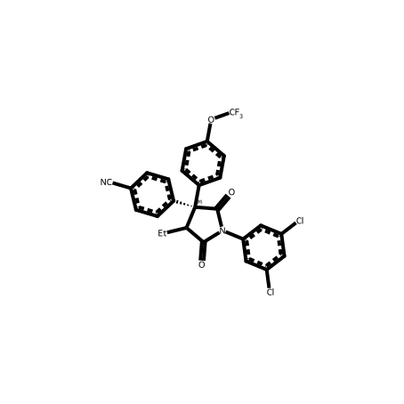 CCC1C(=O)N(c2cc(Cl)cc(Cl)c2)C(=O)[C@]1(c1ccc(C#N)cc1)c1ccc(OC(F)(F)F)cc1